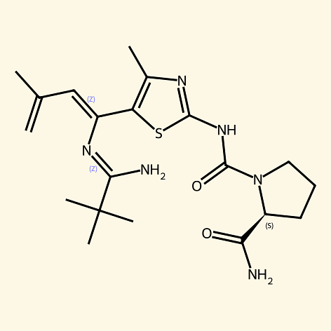 C=C(C)/C=C(\N=C(/N)C(C)(C)C)c1sc(NC(=O)N2CCC[C@H]2C(N)=O)nc1C